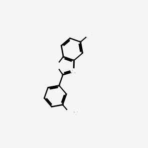 COc1cccc(-c2nc3cc(C(=O)O)ccc3s2)c1